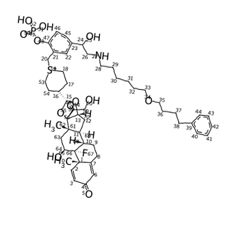 C[C@]12C=CC(=O)C=C1CC[C@H]1[C@@H]3C[C@H]4O[C@@H](C5CC[S+](Cc6cc(C(O)CNCCCCCCOCCCCc7ccccc7)ccc6OP(=O)(O)O)CC5)O[C@@]4(C(=O)CO)[C@@]3(C)C[C@H](O)[C@@]12F